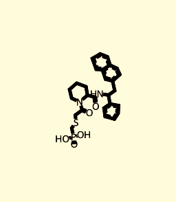 O=C(NC(Cc1ccc2ccccc2c1)c1ccccc1)C1CCCCN1C(=O)CSCP(=O)(O)O